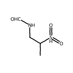 CC(CN[C]=O)[SH](=O)=O